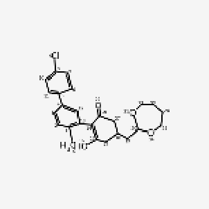 Cc1ccc(-c2ccc(Cl)cc2)cc1C1=C(O)CC(CC2OCCCCO2)CC1=O